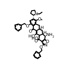 CCN1CCC[C@H]1c1cc(OCc2ccccc2)c2c(c1OC)C[C@H]1C[C@H]3[C@H](N)c4onc(OCc5ccccc5)c4C(=O)[C@@]3(O)C(O)=C1C2=O